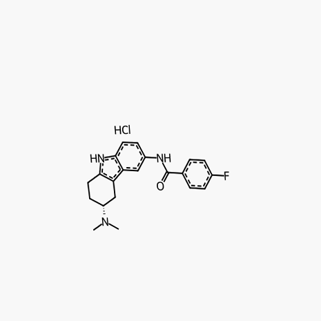 CN(C)[C@@H]1CCc2[nH]c3ccc(NC(=O)c4ccc(F)cc4)cc3c2C1.Cl